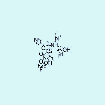 CCN(CC)CCNC(=O)c1sc2c(c1OCc1ccncc1)c(=O)n(C)c1ccccc21.O=C(O)C(F)(F)F.O=C(O)C(F)(F)F